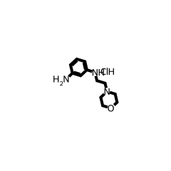 Cl.Nc1cccc(NCCN2CCOCC2)c1